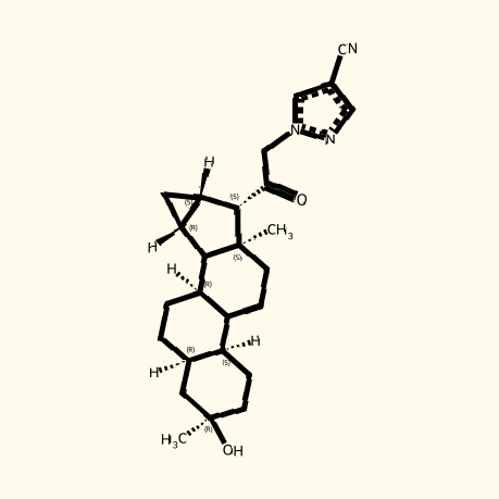 C[C@@]1(O)CC[C@@H]2C3CC[C@@]4(C)C([C@@H]3CC[C@@H]2C1)[C@@H]1C[C@@H]1[C@@H]4C(=O)Cn1cc(C#N)cn1